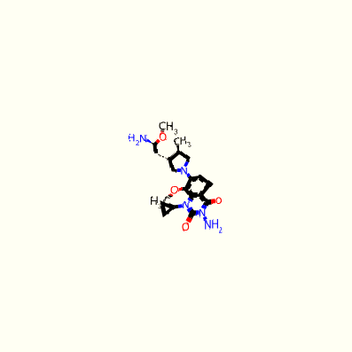 COc1c(N2C[C@H](C[C@@H](N)OC)[C@@H](C)C2)ccc2c(=O)n(N)c(=O)n(C3CC3)c12